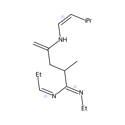 C=C(CC(C)C(/N=C\CC)=N/CC)N/C=C\C(C)C